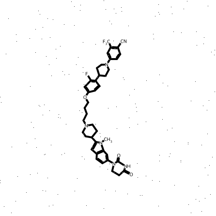 Cn1c(C2CCN(CCCCOc3ccc(C4CCN(c5ccc(C#N)c(C(F)(F)F)c5)CC4)c(F)c3)CC2)cc2ccc(N3CCC(=O)NC3=O)cc21